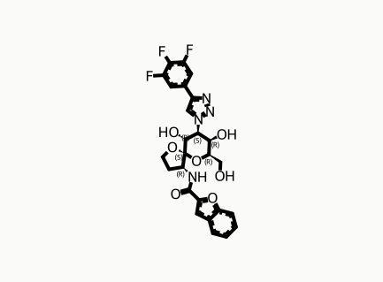 O=C(N[C@@H]1CCO[C@]12O[C@H](CO)[C@H](O)[C@H](n1cc(-c3cc(F)c(F)c(F)c3)nn1)[C@H]2O)c1cc2ccccc2o1